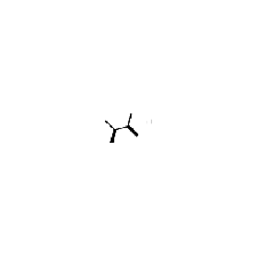 C=C(C)C(=C)C.[LiH]